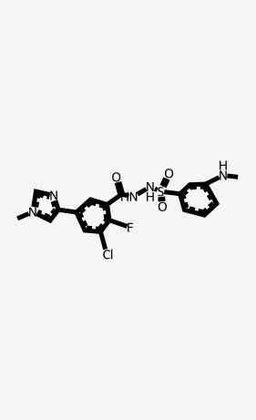 CNc1cccc(S(=O)(=O)NNC(=O)c2cc(-c3cn(C)cn3)cc(Cl)c2F)c1